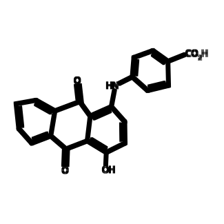 O=C(O)c1ccc(Nc2ccc(O)c3c2C(=O)c2ccccc2C3=O)cc1